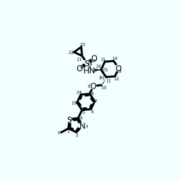 Cc1cnc(-c2ccc(OC[C@H]3COCC[C@@H]3NS(=O)(=O)C3CC3)cc2)s1